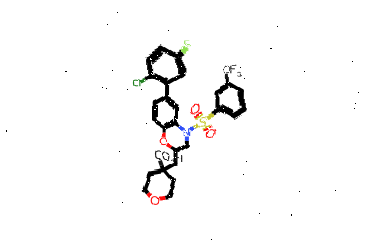 O=C(O)C1(CC2CN(S(=O)(=O)c3cccc(C(F)(F)F)c3)c3cc(-c4cc(F)ccc4Cl)ccc3O2)CCOCC1